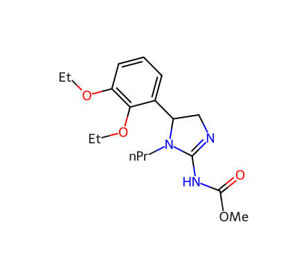 CCCN1C(NC(=O)OC)=NCC1c1cccc(OCC)c1OCC